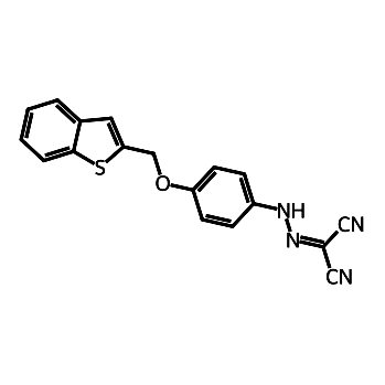 N#CC(C#N)=NNc1ccc(OCc2cc3ccccc3s2)cc1